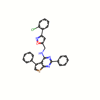 Clc1ccccc1-c1cc(CNc2nc(-c3ccccc3)nc3scc(-c4ccccc4)c23)on1